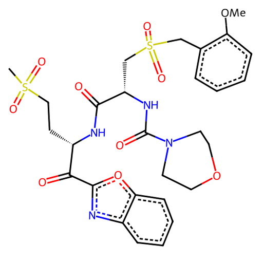 COc1ccccc1CS(=O)(=O)C[C@H](NC(=O)N1CCOCC1)C(=O)N[C@@H](CCS(C)(=O)=O)C(=O)c1nc2ccccc2o1